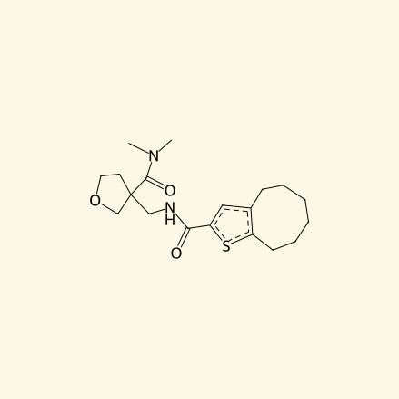 CN(C)C(=O)C1(CNC(=O)c2cc3c(s2)CCCCCC3)CCOC1